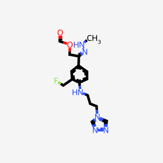 CN/N=C(\COC=O)c1ccc(NCCCn2cnnc2)c(CF)c1